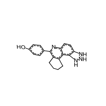 Oc1ccc(-c2nc3ccc4c(c3c3c2CCCC3)NNN4)cc1